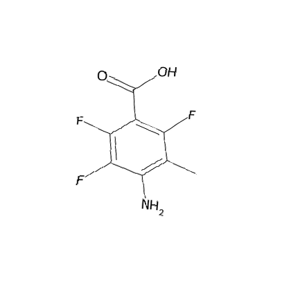 Cc1c(N)c(F)c(F)c(C(=O)O)c1F